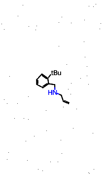 C=CCNCc1ccccc1C(C)(C)C